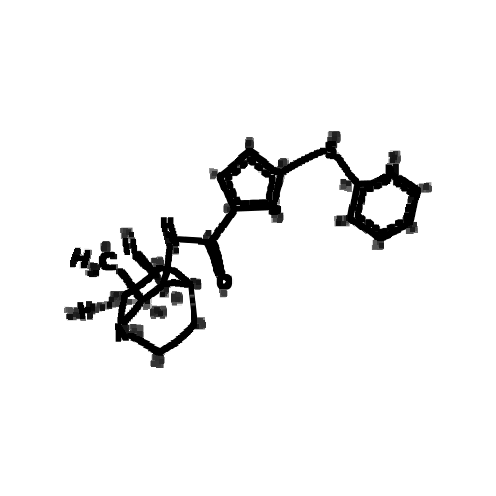 C[C@H]1[C@H](NC(=O)c2ccc(Sc3ccccn3)s2)C2CCN1CC2